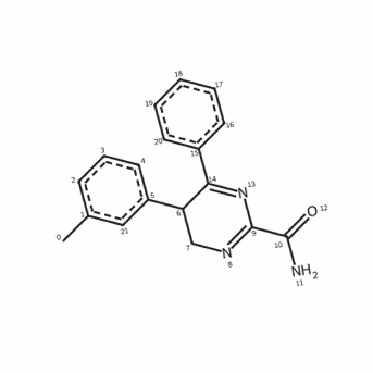 Cc1cccc(C2CN=C(C(N)=O)N=C2c2ccccc2)c1